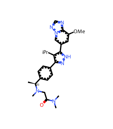 COc1cc(-c2[nH]nc(-c3ccc([C@H](C)N(C)CC(=O)N(C)C)cc3)c2C(C)C)cn2ncnc12